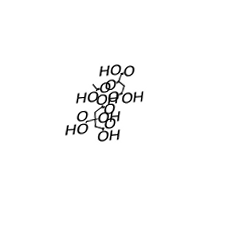 CC(=O)O.O=C(O)CC(=O)C(=O)O.O=C(O)CC(O)(CC(=O)O)C(=O)O